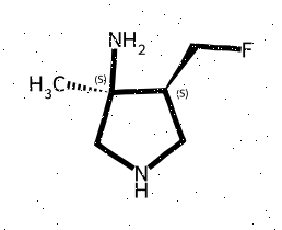 C[C@@]1(N)CNC[C@@H]1CF